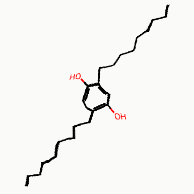 CCCCCCCCCc1cc(O)c(CCCCCCCCC)cc1O